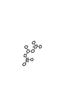 c1ccc(-c2cc(-c3cccc(-c4cc(-c5ccccc5)nc(-c5ccccc5)n4)c3)cc(-c3cccc(-c4cc(-c5ccccc5)nc(-c5ccccc5)n4)c3)c2)cc1